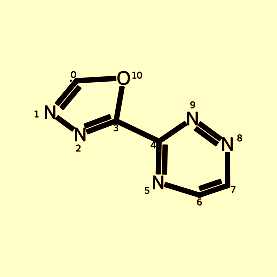 [c]1nnc(-c2nccnn2)o1